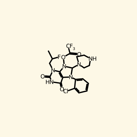 CC(F)Cn1c2c(c(=O)[nH]c1=O)N(c1ccccc1Cl)C(N1CCNCC1)N2OC(=O)C(F)(F)F